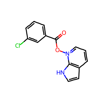 O=C(O[n+]1cccc2cc[nH]c21)c1cccc(Cl)c1